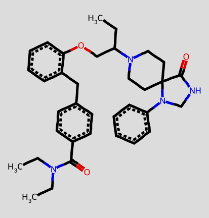 CCC(COc1ccccc1Cc1ccc(C(=O)N(CC)CC)cc1)N1CCC2(CC1)C(=O)NCN2c1ccccc1